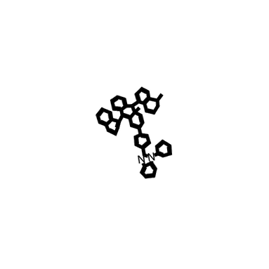 CC1CC=Cc2c1cccc2C1c2ccccc2C(c2cccc3ccccc23)=C2C=C(c3ccc(-c4nc5ccccc5n4-c4ccccc4)cc3)C=CC21C